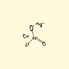 O=[N+]([O-])[O-].[Ag+].[Cu]